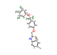 Cc1ccc2nc(COc3ccc(C(F)(F)Oc4cc(F)c(F)c(F)c4)cc3)sc2c1